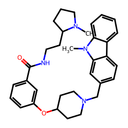 CN1CCCC1CCNC(=O)c1cccc(OC2CCN(Cc3ccc4c5ccccc5n(C)c4c3)CC2)c1